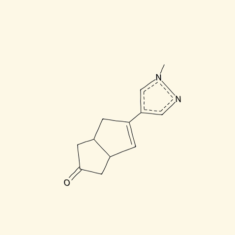 Cn1cc(C2=CC3CC(=O)CC3C2)cn1